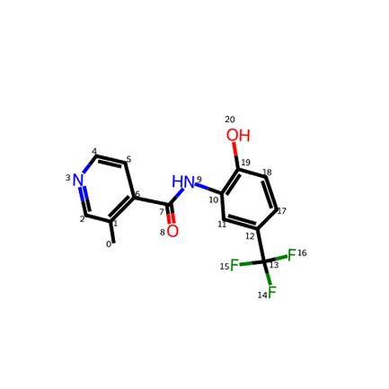 Cc1cnccc1C(=O)Nc1cc(C(F)(F)F)ccc1O